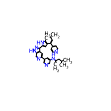 C=C/C=C(/c1ccncc1)c1cc(-c2n[nH]c3cnc(-c4cncc(NC(=C)CC(C)C)c4)cc23)[nH]c1C